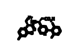 Cc1ccn([C@@H](CC(C)C)C(=O)N[C@H](CC(=O)O)c2ccnc(-c3c(C)cccc3C)c2)c(=O)c1